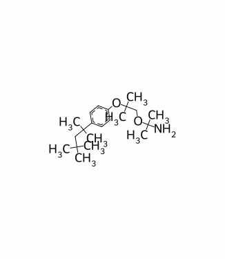 CC(C)(C)CC(C)(C)c1ccc(OC(C)(C)COC(C)(C)N)cc1